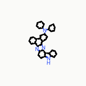 c1ccc(N(c2ccccc2)c2ccc3c(c2)c2ccccc2c2nc4ccc5[nH]c6ccccc6c5c4nc32)cc1